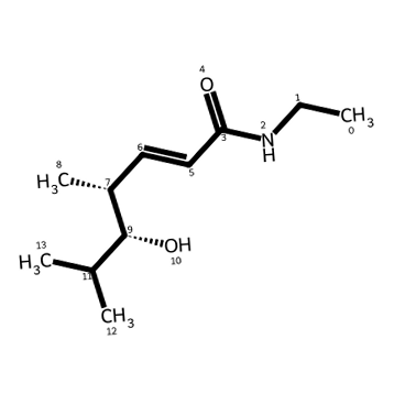 CCNC(=O)/C=C/[C@@H](C)[C@H](O)C(C)C